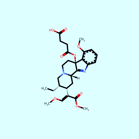 CC[C@@H]1CN2CC[C@@]3(OC(=O)CCC(=O)O)C(=Nc4cccc(OC)c43)[C@@H]2C[C@@H]1/C(=C\OC)C(=O)OC